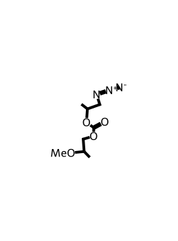 COC(C)COC(=O)OC(C)CN=[N+]=[N-]